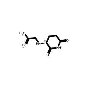 C=C(C)CN[C@H]1CCC(=O)NC1=O